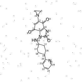 O=C1C(N2CC2)=CC(=O)c2c1n[n+]([O-])n2NC1CCC(c2ccccn2)CC1